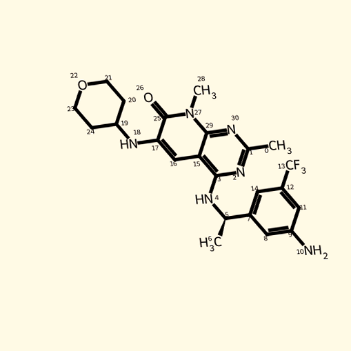 Cc1nc(N[C@H](C)c2cc(N)cc(C(F)(F)F)c2)c2cc(NC3CCOCC3)c(=O)n(C)c2n1